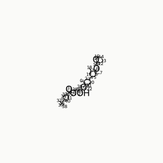 Cc1cc(-c2cc(C)c(OCC3CCCCO3)c(C)c2)cc(C)c1OCC(O)COC(=O)c1ccc(C(C)(C)C)cc1